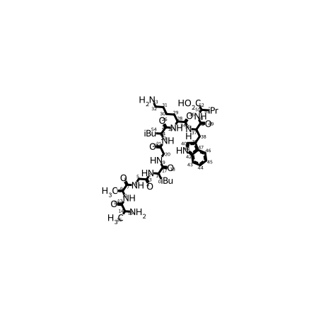 CCC(C)C(NC(=O)CNC(=O)C(C)NC(=O)C(C)N)C(=O)NCC(=O)NC(C(=O)NC(CCCCN)C(=O)NC(Cc1c[nH]c2ccccc12)C(=O)NC(C(=O)O)C(C)C)C(C)CC